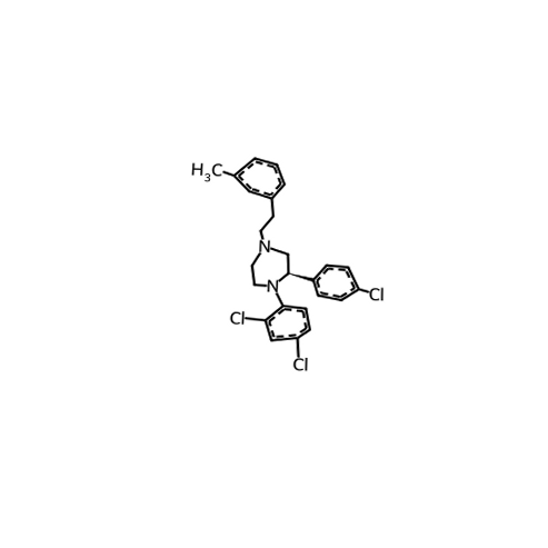 Cc1cccc(CCN2CCN(c3ccc(Cl)cc3Cl)[C@H](c3ccc(Cl)cc3)C2)c1